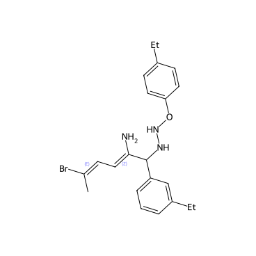 CCc1ccc(ONNC(/C(N)=C/C=C(\C)Br)c2cccc(CC)c2)cc1